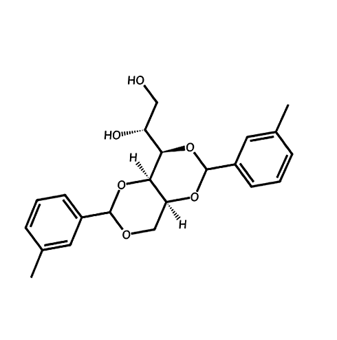 Cc1cccc(C2OC[C@@H]3OC(c4cccc(C)c4)O[C@H]([C@H](O)CO)[C@@H]3O2)c1